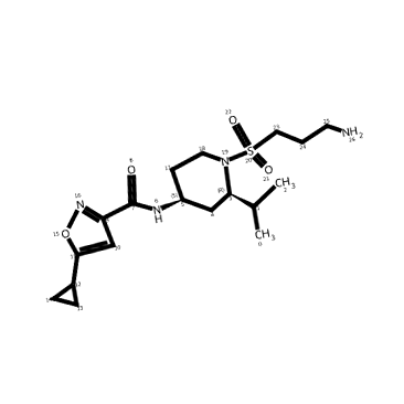 CC(C)[C@H]1C[C@@H](NC(=O)c2cc(C3CC3)on2)CCN1S(=O)(=O)CCCN